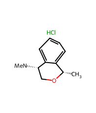 CN[C@H]1CO[C@@H](C)c2ccccc21.Cl